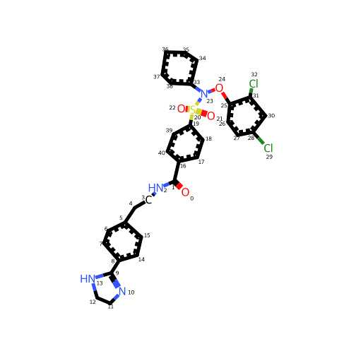 O=C(NCCc1ccc(C2=NCCN2)cc1)c1ccc(S(=O)(=O)N(Oc2ccc(Cl)cc2Cl)c2ccccc2)cc1